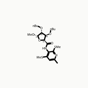 CCCCO[C@@H]1[C@@H](OCCCC)[C@@H](OC)O[C@@H]1C(=O)Nc1c(SC)cc(C)nc1SC